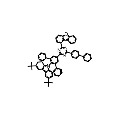 CC(C)(C)C1=Cc2c(n(-c3c(-c4c#cccc4)cc(-c4nc(-c5ccc(-c6ccccc6)cc5)nc(-c5cccc6oc7ccccc7c56)n4)cc3-c3ccccc3)c3ccc(C(C)(C)C)cc23)CC1